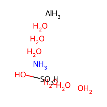 N.O.O.O.O.O.O.O=S(=O)(O)O.[AlH3]